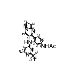 CC(=O)Nc1cc(Nc2cc(C)nc(C(C)(C)F)n2)c(-c2ccn3nccc3n2)cn1